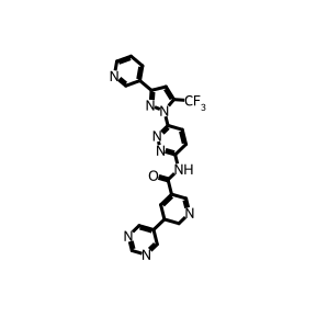 O=C(Nc1ccc(-n2nc(-c3cccnc3)cc2C(F)(F)F)nn1)C1=CC(c2cncnc2)CN=C1